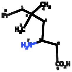 CC(C)CC(C)(C)CC(N)CC(=O)O